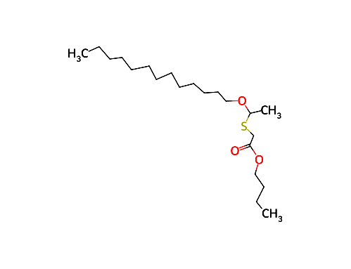 CCCCCCCCCCCCCOC(C)SCC(=O)OCCCC